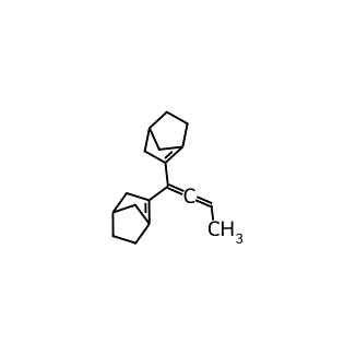 CC=C=C(C1=C2CCC(C2)C1)C1=C2CCC(C2)C1